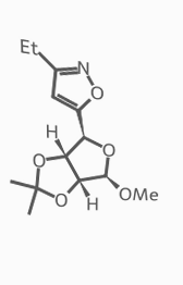 CCc1cc([C@H]2O[C@@H](OC)[C@@H]3OC(C)(C)O[C@@H]32)on1